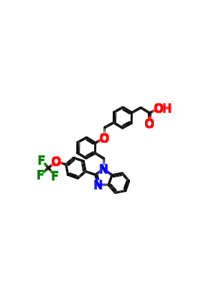 O=C(O)Cc1ccc(COc2ccccc2Cn2c(-c3ccc(OC(F)(F)F)cc3)nc3ccccc32)cc1